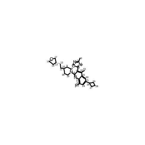 Cc1noc(-c2c(N3CCC(CC[C@@H]4CCOC4)CC3)nc3c(F)cc(C4CCC4)cc3c2C)n1